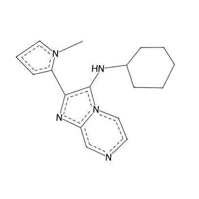 Cn1cccc1-c1nc2cnccn2c1NC1CCCCC1